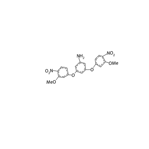 COc1cc(Oc2cc(N)cc(Oc3ccc([N+](=O)[O-])c(OC)c3)c2)ccc1[N+](=O)[O-]